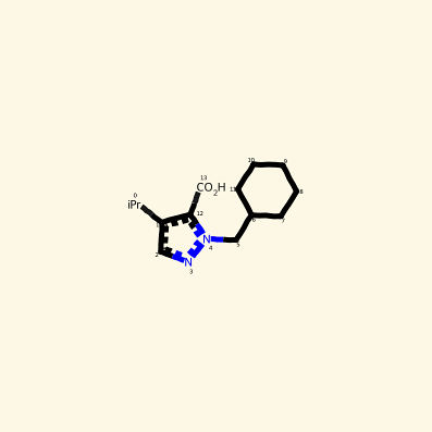 CC(C)c1cnn(CC2CCCCC2)c1C(=O)O